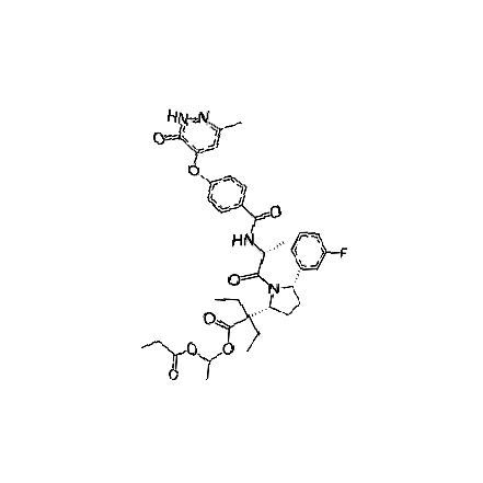 CCC(=O)OC(C)OC(=O)C(CC)(CC)[C@H]1CC[C@@H](c2cccc(F)c2)N1C(=O)[C@@H](C)NC(=O)c1ccc(Oc2cc(C)n[nH]c2=O)cc1